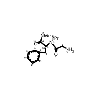 CCCN(C(=O)CN)[C@@H](Cc1ccccc1)C(=O)NC